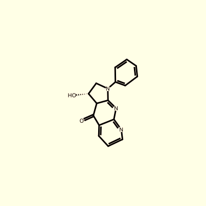 O=C1c2cccnc2N=C2C1[C@H](O)CN2c1ccccc1